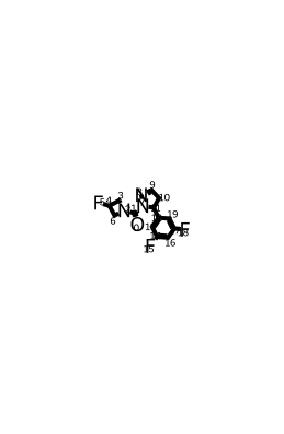 O=C(N1CC(F)C1)N1N=CCC1c1cc(F)cc(F)c1